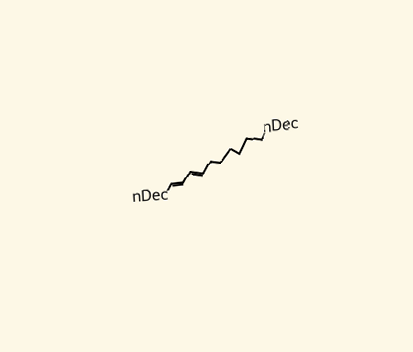 CCCCCCCCCCC=CC=CCCCCCCCCCCCCCCCC